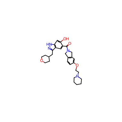 O=C(c1cc2c(CC3CCOCC3)n[nH]c2cc1O)N1Cc2ccc(OCCN3CCCCC3)cc2C1